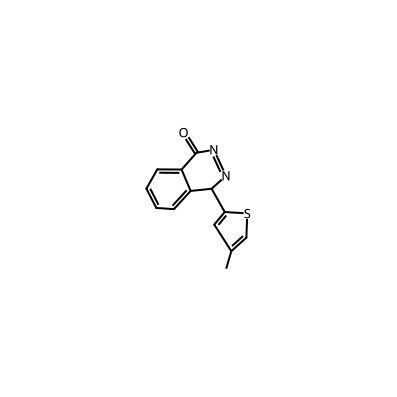 Cc1csc(C2N=NC(=O)c3ccccc32)c1